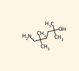 CC(C)(O)CCC(C)(C)CN